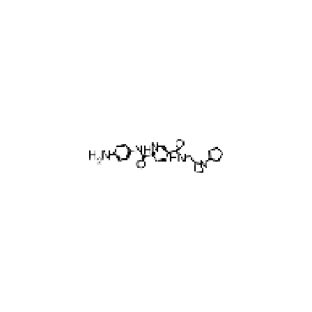 Nc1ccc(NC(=O)c2ccc(C(=O)NCC3CCN3C3CCCC3)cn2)cc1